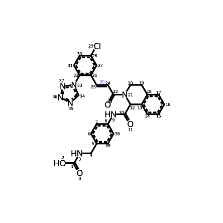 O=C(O)NCc1ccc(NC(=O)C2c3ccccc3CCN2C(=O)/C=C/c2cc(Cl)ccc2-n2cnnn2)cc1